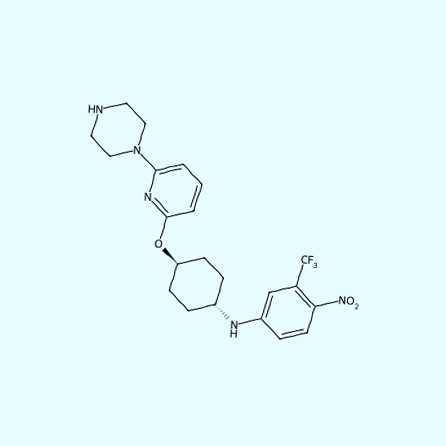 O=[N+]([O-])c1ccc(N[C@H]2CC[C@H](Oc3cccc(N4CCNCC4)n3)CC2)cc1C(F)(F)F